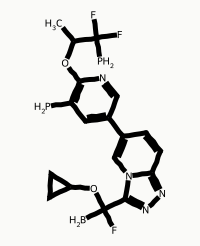 BC(F)(OC1CC1)c1nnc2ccc(-c3cnc(OC(C)C(F)(F)P)c(P)c3)cn12